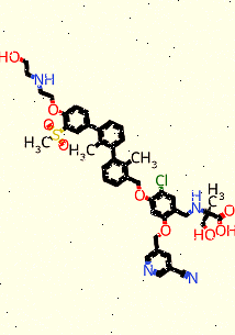 Cc1c(COc2cc(OCc3cncc(C#N)c3)c(CN[C@](C)(CO)C(=O)O)cc2Cl)cccc1-c1cccc(-c2ccc(OCCNCCO)c(S(C)(=O)=O)c2)c1C